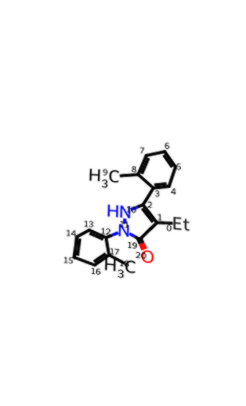 CCc1c(-c2ccccc2C)[nH]n(-c2ccccc2C)c1=O